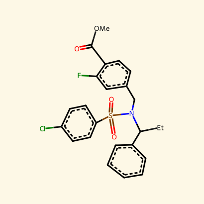 CCC(c1ccccc1)N(Cc1ccc(C(=O)OC)c(F)c1)S(=O)(=O)c1ccc(Cl)cc1